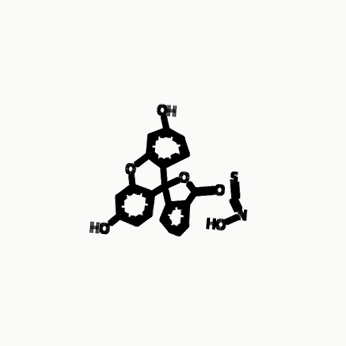 O=C1OC2(c3ccc(O)cc3Oc3cc(O)ccc32)c2ccccc21.ON=C=S